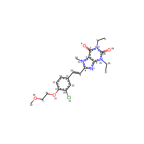 CCn1c(=O)c2c(nc(C=Cc3ccc(OCCOC)c(Cl)c3)n2C)n(CC)c1=O